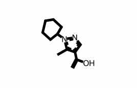 C=C(O)c1cnn(C2CCCCC2)c1C